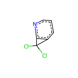 ClC1(Cl)c2cccnc21